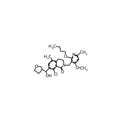 CCCCOc1nc(C)cc(OC)c1CN1CCc2c(C)cc(C(O)C3CCOC3)c(Cl)c2C1=O